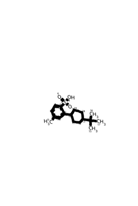 Cc1ccc(S(=O)(=O)O)c(C2CCC(C(C)(C)C)CC2)c1